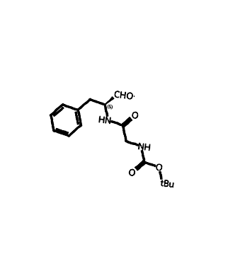 CC(C)(C)OC(=O)NCC(=O)N[C@H]([C]=O)Cc1ccccc1